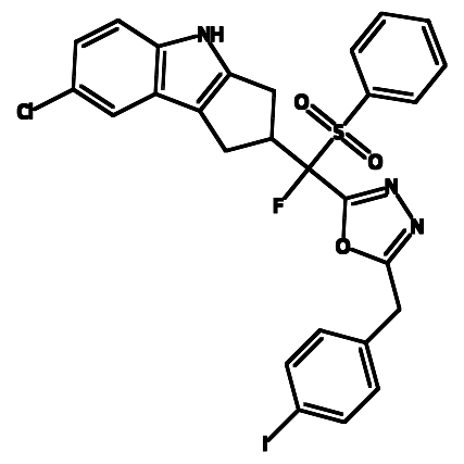 O=S(=O)(c1ccccc1)C(F)(c1nnc(Cc2ccc(I)cc2)o1)C1Cc2[nH]c3ccc(Cl)cc3c2C1